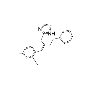 Cc1ccc(C=C(CCc2ccccc2)Cc2ncc[nH]2)c(C)c1